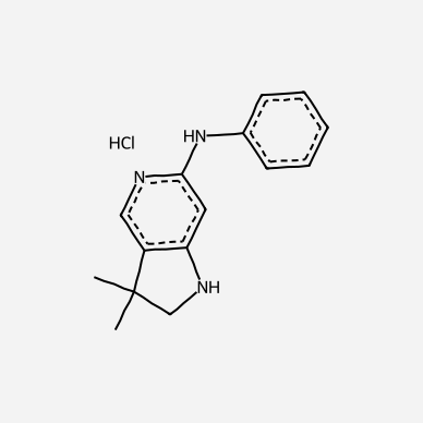 CC1(C)CNc2cc(Nc3ccccc3)ncc21.Cl